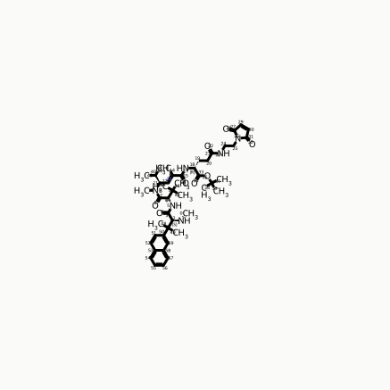 CN[C@H](C(=O)N[C@H](C(=O)N(C)[C@H](/C=C(\C)C(=O)N[C@H](CCC(=O)NCCN1C(=O)C=CC1=O)C(=O)OC(C)(C)C)C(C)C)C(C)(C)C)C(C)(C)c1ccc2ccccc2c1